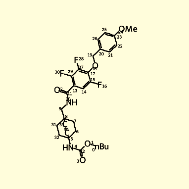 CCCCOC(=O)NC12CCC(CNC(=O)c3cc(F)c(OCc4ccc(OC)cc4)c(F)c3F)(CC1)CC2